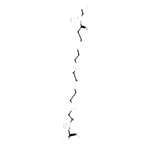 CC(C)CNC(=O)CCOCCOCCOCCOCCNC(=O)C(C)C